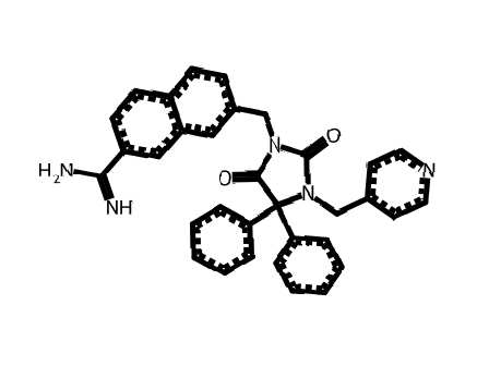 N=C(N)c1ccc2ccc(CN3C(=O)N(Cc4ccncc4)C(c4ccccc4)(c4ccccc4)C3=O)cc2c1